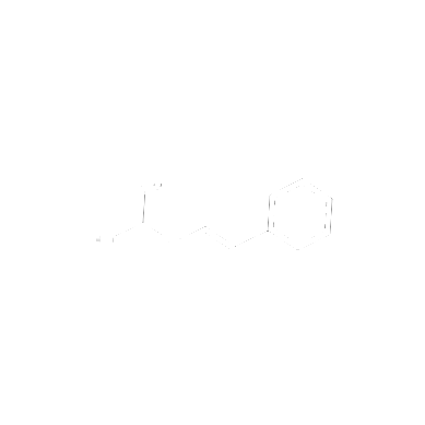 CCCCC(OC)OC=Cc1ccccc1